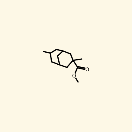 COC(=O)C1(C)CC2CC(C)CC(C2)C1